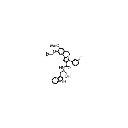 COc1cc2c(cc1OCC1CC1)-c1cc(C(=O)N[C@@H](CO)Cc3c[nH]c4ccccc34)c(-c3cccc(F)c3)n1CC2